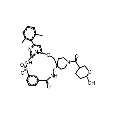 Cc1cccc(C)c1-c1cc2nc(n1)NS(=O)(=O)c1cccc(c1)C(=O)NCC1(CCN(C(=O)C3CC[C@H](O)OC3)CC1)CO2